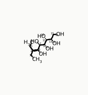 CCC(CC)=C(O)[C@@H](O)[C@@H](O)[C@H](O)[C@H](O)CO